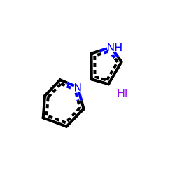 I.c1cc[nH]c1.c1ccncc1